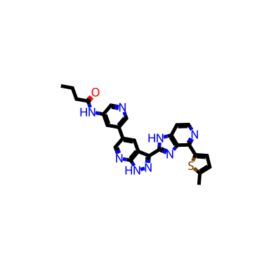 CCCC(=O)Nc1cncc(-c2cnc3[nH]nc(-c4nc5c(-c6ccc(C)s6)nccc5[nH]4)c3c2)c1